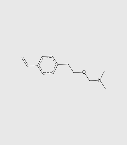 C=Cc1ccc(CCOCN(C)C)cc1